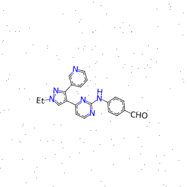 CCn1cc(-c2ccnc(Nc3ccc(C=O)cc3)n2)c(-c2cccnc2)n1